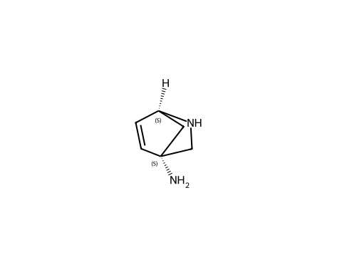 N[C@]12C=C[C@H](C1)NC2